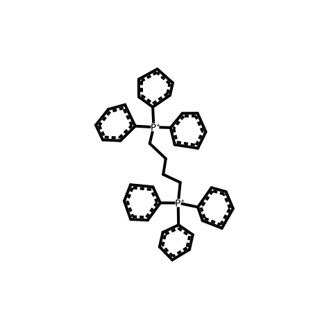 c1ccc([P+](CCCC[P+](c2ccccc2)(c2ccccc2)c2ccccc2)(c2ccccc2)c2ccccc2)cc1